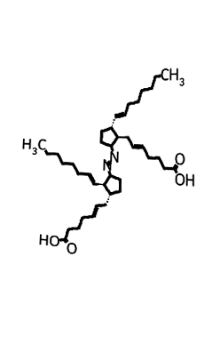 CCCCCCC=C[C@H]1CCC(N=NC2CC[C@H](CC=CCCCC(=O)O)[C@H]2C=CCCCCCC)[C@@H]1CC=CCCCC(=O)O